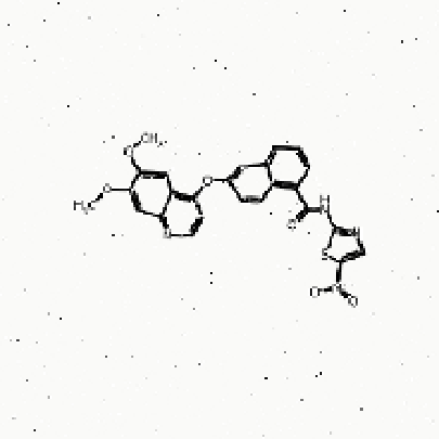 COc1cc2nccc(Oc3ccc4c(C(=O)Nc5ncc([N+](=O)[O-])s5)cccc4c3)c2cc1OC